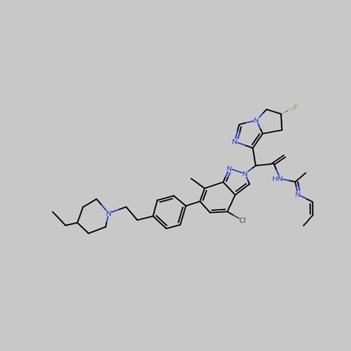 C=C(N/C(C)=N/C=C\C)C(c1ncn2c1C[C@@H](F)C2)n1cc2c(Cl)cc(-c3ccc(CCN4CCC(CC)CC4)cc3)c(C)c2n1